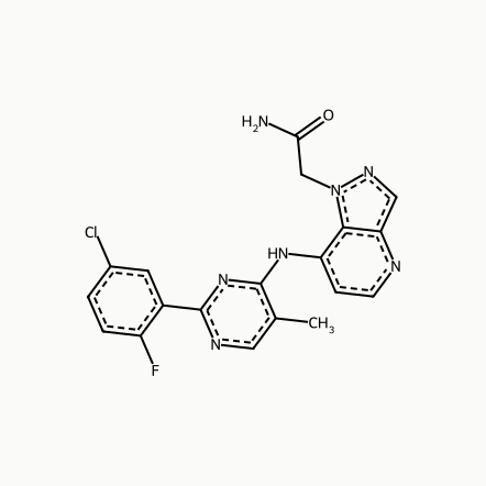 Cc1cnc(-c2cc(Cl)ccc2F)nc1Nc1ccnc2cnn(CC(N)=O)c12